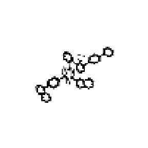 COc1c(-c2ccc(-c3ccccc3)cc2)cccc1-c1ccccc1-c1nc(-c2ccc(-c3cccc4ccccc34)cc2)nc(-c2ccc3ccccc3c2)n1